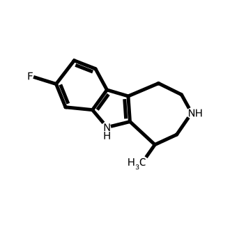 CC1CNCCc2c1[nH]c1cc(F)ccc21